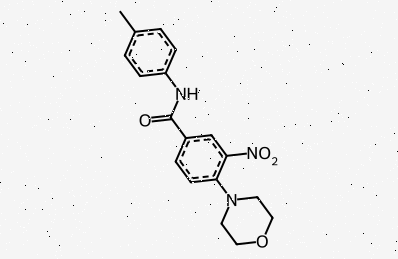 Cc1ccc(NC(=O)c2ccc(N3CCOCC3)c([N+](=O)[O-])c2)cc1